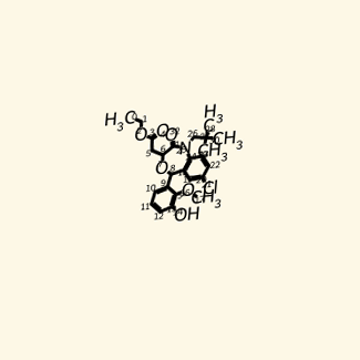 CCOC(=O)CC1OC(c2cccc(O)c2OC)c2cc(Cl)ccc2N(CC(C)(C)C)C1=O